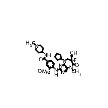 C#C[C@]1(F)CN(C2CCCC2)c2nc(Nc3ccc(C(=O)NC4CCN(C)CC4)cc3OC)ncc2N(C)C1=O